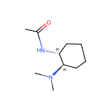 CC(=O)N[C@@H]1CCCC[C@H]1N(C)C